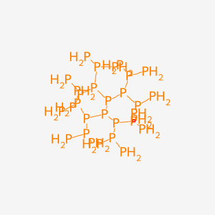 PP(P)P(P(P)P)P(P(P(P)P)P(P)P)P(P(P(P)P)P(P)P)P(P(P)P)P(P)P